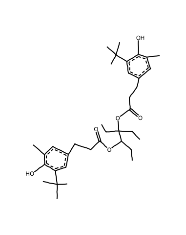 CCC(OC(=O)CCc1cc(C)c(O)c(C(C)(C)C)c1)C(CC)(CC)OC(=O)CCc1cc(C)c(O)c(C(C)(C)C)c1